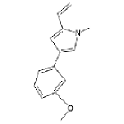 C=Cc1cc(-c2cccc(OC)c2)cn1C